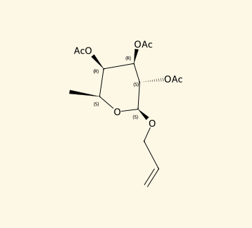 C=CCO[C@H]1O[C@@H](C)[C@@H](OC(C)=O)[C@@H](OC(C)=O)[C@@H]1OC(C)=O